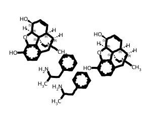 CC(N)Cc1ccccc1.CC(N)Cc1ccccc1.CN1CC[C@]23c4c5ccc(O)c4O[C@H]2[C@@H](O)C=C[C@H]3[C@H]1C5.CN1CC[C@]23c4c5ccc(O)c4O[C@H]2[C@@H](O)C=C[C@H]3[C@H]1C5